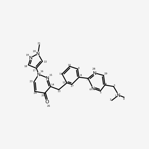 CN(C)Cc1cnc(-c2cccc(Cc3nn(-c4cnn(C)c4)ccc3=O)c2)nc1